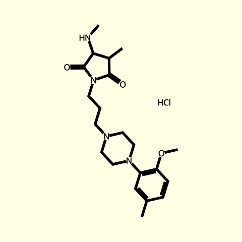 CNC1C(=O)N(CCCN2CCN(c3cc(C)ccc3OC)CC2)C(=O)C1C.Cl